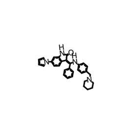 O=C1Nc2cc(-n3cccc3)ccc2/C1=C(/Nc1ccc(CN2CCCCC2)cc1)c1ccccc1